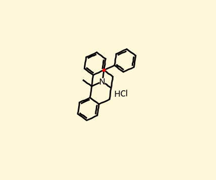 CC12c3ccccc3CC(Cc3ccccc31)N2Cc1ccccc1.Cl